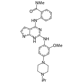 CNC(=O)c1ccccc1Nc1nc(Nc2ccc(N3CCN(C(C)C)CC3)cc2OC)[nH]c2nccc1-2